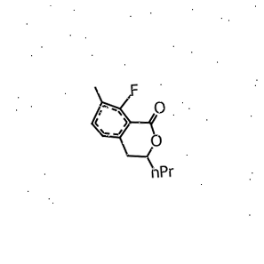 CCCC1Cc2ccc(C)c(F)c2C(=O)O1